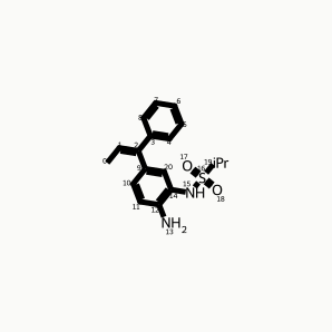 CC=C(c1ccccc1)c1ccc(N)c(NS(=O)(=O)C(C)C)c1